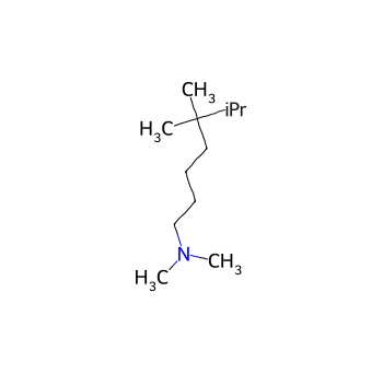 CC(C)C(C)(C)CCCCN(C)C